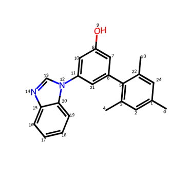 Cc1cc(C)c(-c2cc(O)cc(-n3cnc4ccccc43)c2)c(C)c1